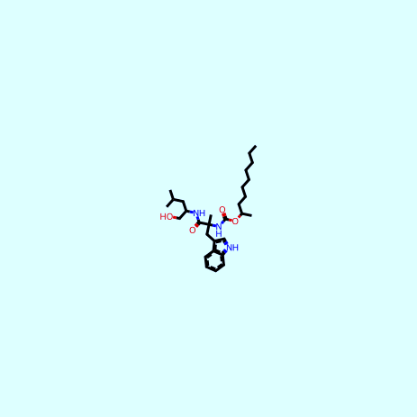 CCCCCCCCC(C)OC(=O)NC(C)(Cc1c[nH]c2ccccc12)C(=O)NC(CO)CC(C)C